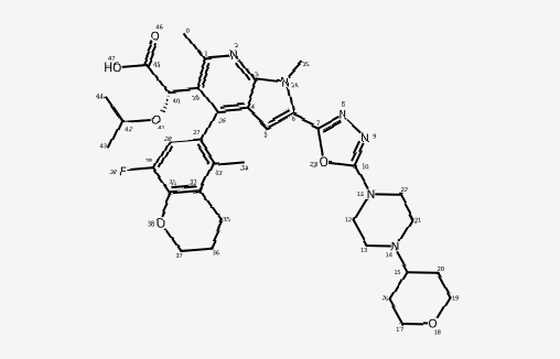 Cc1nc2c(cc(-c3nnc(N4CCN(C5CCOCC5)CC4)o3)n2C)c(-c2cc(F)c3c(c2C)CCCO3)c1[C@H](OC(C)C)C(=O)O